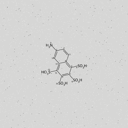 Nc1ccc2c(S(=O)(=O)O)c(S(=O)(=O)O)c(S(=O)(=O)O)c(S(=O)(=O)O)c2c1